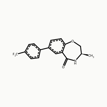 C[C@@H]1COc2ccc(-c3ccc(C(F)(F)F)cc3)cc2C(=O)N1